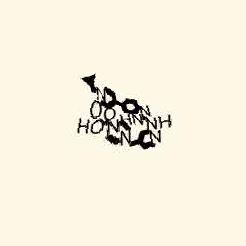 O=C(O)N1CCN(Cc2ccnc(Nc3nc4ccc(-c5ccn(CC6CC6)c(=O)c5)cc4[nH]3)c2)CC1